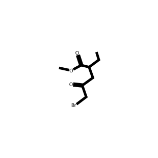 CCC(CC(=O)CBr)C(=O)OC